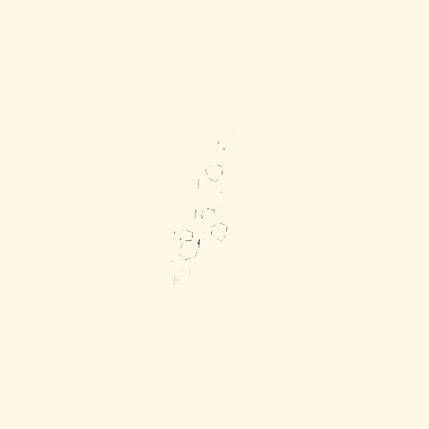 O=C(COc1ccc(CN2CCOCC2)cc1Cl)N1CCc2nc3cc(C(F)(F)F)ccn3c2C1c1ccccc1F